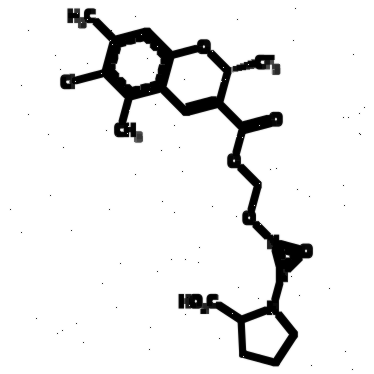 Cc1cc2c(c(C)c1Cl)C=C(C(=O)OCOn1on1N1CCCC1C(=O)O)[C@@H](C(F)(F)F)O2